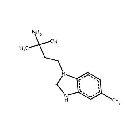 CC(C)(N)CCN1[CH]Nc2cc(C(F)(F)F)ccc21